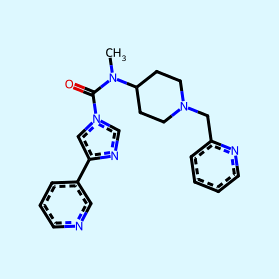 CN(C(=O)n1cnc(-c2cccnc2)c1)C1CCN(Cc2ccccn2)CC1